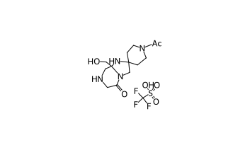 CC(=O)N1CCC2(CC1)CN1C(=O)CNCC1(CO)N2.O=S(=O)(O)C(F)(F)F